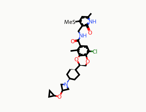 CSc1cc(C)[nH]c(=O)c1CNC(=O)c1cc(Cl)c2c(c1C)O[C@H]([C@H]1CC[C@H](N3CC(OC4CC4)C3)CC1)CO2